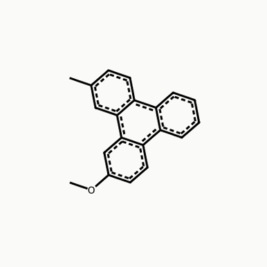 COc1ccc2c3ccccc3c3ccc(C)cc3c2c1